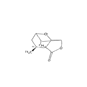 CC1C2C[C@H](C)C3C(=O)OC1C3O2